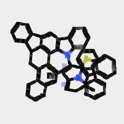 CCC1=C(\n2c3ccccc3c3cc4c5c(c32)-c2ccc3ccccc3c2CC5c2ccccc2-4)c2sc3ccccc3c2C(C)C\C=C\1n1c2ccccc2c2ccccc21